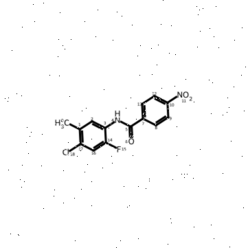 Cc1cc(NC(=O)c2ccc([N+](=O)[O-])cc2)c(F)cc1Cl